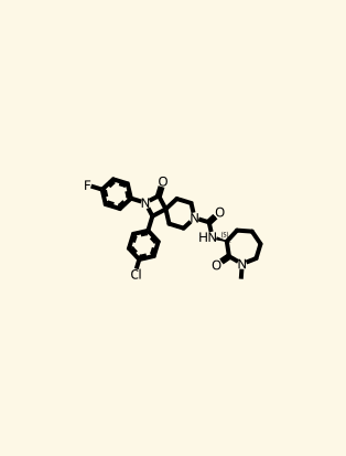 CN1CCCC[C@H](NC(=O)N2CCC3(CC2)C(=O)N(c2ccc(F)cc2)C3c2ccc(Cl)cc2)C1=O